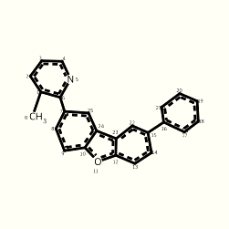 Cc1cccnc1-c1ccc2oc3ccc(-c4[c]cccc4)cc3c2c1